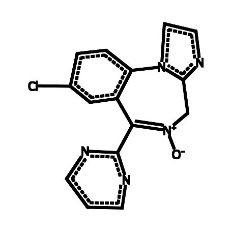 [O-][N+]1=C(c2ncccn2)c2cc(Cl)ccc2-n2ccnc2C1